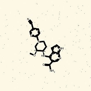 CO[C@H]1CN(c2ccc(C#N)cn2)CC[C@H]1Nc1c(C(N)=O)cnc2[nH]ccc12